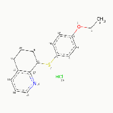 CCOc1ccc(SC2CCCc3cccnc32)cc1.Cl